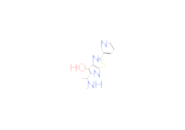 CNC(C)c1c(O)c2nc(-c3cccnc3)sc2n1C